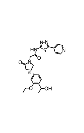 CCOc1cc([C@@H]2CC(=O)N(CC(=O)Nc3nnc(-c4ccncc4)s3)C2)ccc1C(C)O